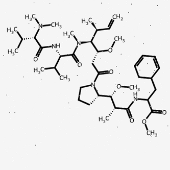 C=C[C@H](C)[C@@H]([C@@H](CC(=O)N1CCC[C@H]1[C@H](OC)[C@@H](C)C(=O)NC(CC1C=CC=CC1)C(=O)OC)OC)N(C)C(=O)[C@@H](NC(=O)[C@H](C(C)C)N(C)C)C(C)C